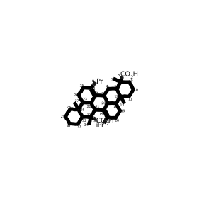 CC(C)C1=C2C3CC4C(C)(C(=O)O)CCCC4(C)C4CCC(C(C)C)=C(C34)C3C2C(CC1)C1(C)CCCCC1C3(C)C(=O)O